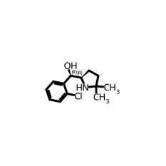 CC1(C)CC[C@H]([C@H](O)c2ccccc2Cl)N1